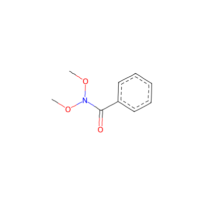 CON(OC)C(=O)c1ccccc1